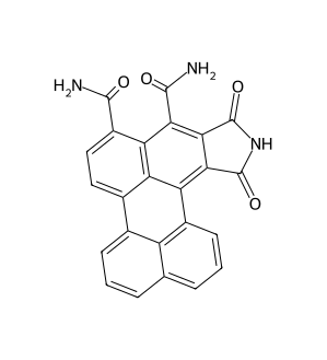 NC(=O)c1ccc2c3cccc4cccc(c43)c3c4c(=O)[nH]c(=O)c4c(C(N)=O)c1c23